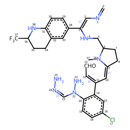 C=N/C=C(\NCC1CC/C(=C/C(=C\C=O)c2cc(Cl)ccc2N(N)/C=N\N)N1C)c1ccc2c(c1)CCC(C(F)(F)F)N2